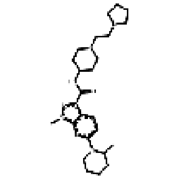 CC1CCCCN1c1ccc2c(C(=O)NC3CCN(CCN4CCCC4)CC3)nn(C)c2n1